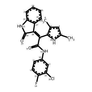 Cc1cc(C)c(C(C(=O)Nc2ccc(F)c(Cl)c2)=C2C(=O)Nc3ccccc32)[nH]1